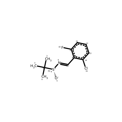 CC(C)(C)[S@@+]([O-])N=Cc1c(F)cccc1Cl